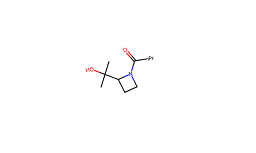 CC(C)C(=O)N1CCC1C(C)(C)O